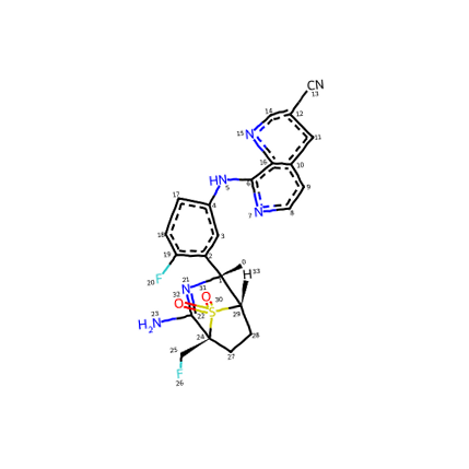 C[C@]1(c2cc(Nc3nccc4cc(C#N)cnc34)ccc2F)N=C(N)[C@@]2(CF)CC[C@@H]1S2(=O)=O